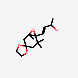 CC(O)C=CC12OC1(C)CC1(CC2(C)C)OCCO1